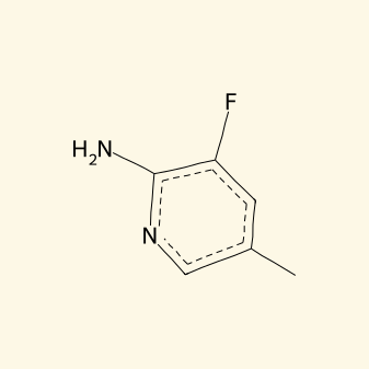 Cc1cnc(N)c(F)c1